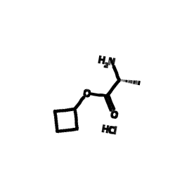 C[C@@H](N)C(=O)OC1CCC1.Cl